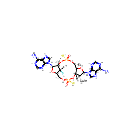 CC[C@@]12CO[P@@](=O)(S)O[C@@H]3[C@H](F)[C@@H](COP(=O)(S)O[C@H]1[C@@H](OC)[C@H](n1cnc4c(N)ncnc41)O2)O[C@H]3n1cnc2c(N)ncnc21